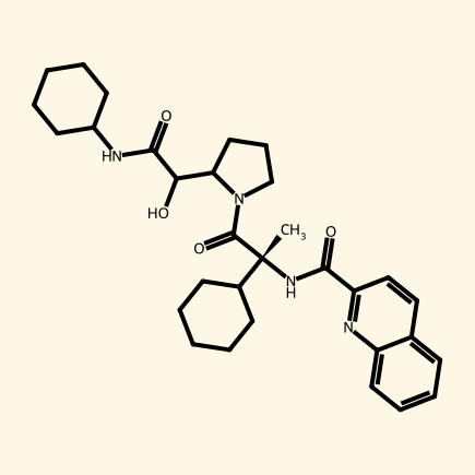 C[C@](NC(=O)c1ccc2ccccc2n1)(C(=O)N1CCCC1C(O)C(=O)NC1CCCCC1)C1CCCCC1